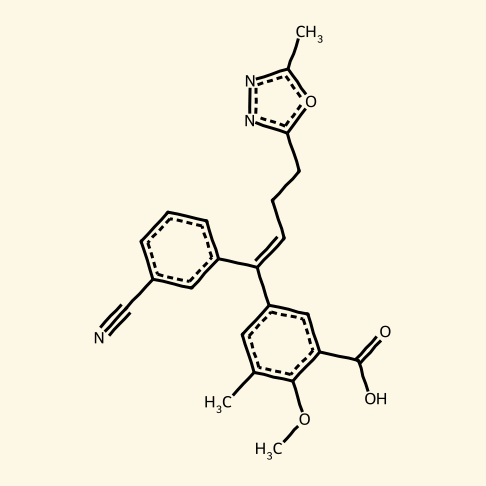 COc1c(C)cc(C(=CCCc2nnc(C)o2)c2cccc(C#N)c2)cc1C(=O)O